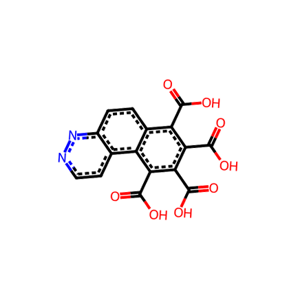 O=C(O)c1c(C(=O)O)c(C(=O)O)c2c(ccc3nnccc32)c1C(=O)O